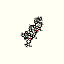 CC(C)[Si]1(C(C)C)c2ccc(-c3ccc4c(c3)[Si]3(c5ccccc5-c5ccccc53)c3ccccc3N4c3ccc(C=C4C(=O)c5cscc5C4=O)s3)cc2N(c2ccc(C=C3C(=O)c4cscc4C3=O)s2)c2ccc(-c3cnc4c(c3)N(c3ccc(C=C5C(=O)c6cscc6C5=O)s3)c3cccnc3[Si]4(C)C)cc21